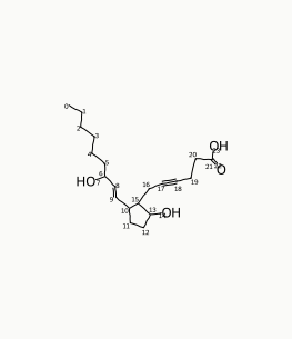 CCCCCCC(O)C=CC1CCC(O)C1CC#CCCC(=O)O